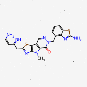 Cn1c2nc(CC(=N)/C=C\N)sc2c2cnn(Cc3cccc4sc(N)nc34)c(=O)c21